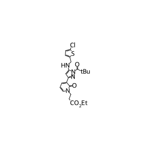 CCOC(=O)CCn1cccc(-c2cc(NCc3ccc(Cl)s3)n(C(=O)C(C)(C)C)n2)c1=O